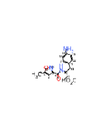 Cc1cc(C(=O)N[C@@H](CC(=O)O)Cc2ccc(N)cc2)no1